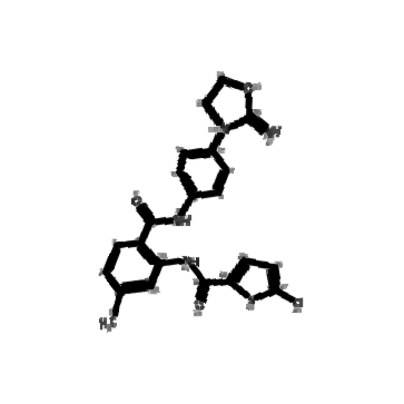 Cc1ccc(C(=O)Nc2ccc(N3CCOC3=N)cc2)c(NC(=O)c2ccc(Cl)s2)c1